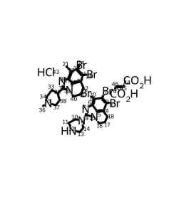 Brc1c(Br)c2c3c(nc(N4CCNCC4)n3CCC2)c1Br.Cc1c(Br)c(Br)c2c3c1nc(C1CCN(C)CC1)n3CCC2.Cl.O=C(O)C=CC(=O)O